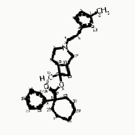 Cc1ccc(CCN2CCC3C(C2)C[C@]3(C)OC(=O)C2(c3ccccc3)CCCCCC2)s1